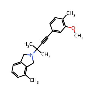 COc1cc(C#CC(C)(C)N2Cc3cccc(C)c3C2)ccc1C